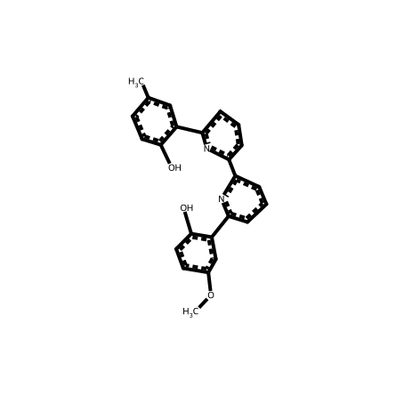 COc1ccc(O)c(-c2cccc(-c3cccc(-c4cc(C)ccc4O)n3)n2)c1